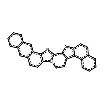 c1ccc2cc3c(ccc4c3nc3c5sc6ccc7ccccc7c6c5ccn43)cc2c1